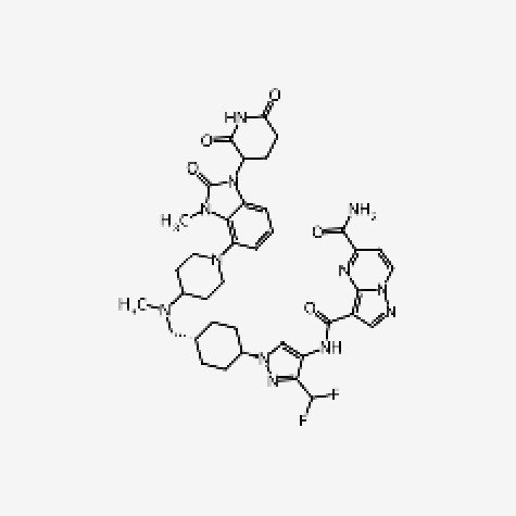 CN(C[C@H]1CC[C@H](n2cc(NC(=O)c3cnn4ccc(C(N)=O)nc34)c(C(F)F)n2)CC1)C1CCN(c2cccc3c2n(C)c(=O)n3C2CCC(=O)NC2=O)CC1